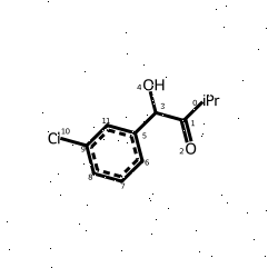 CC(C)C(=O)C(O)c1cccc(Cl)c1